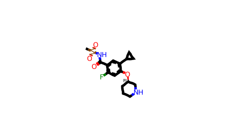 CS(=O)(=O)NC(=O)c1cc(C2CC2)c(O[C@@H]2CCCNC2)cc1F